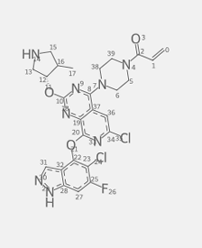 C=CC(=O)N1CCN(c2nc(O[C@@H]3CNCC3C)nc3c(Oc4c(Cl)c(F)cc5[nH]ncc45)nc(Cl)cc23)CC1